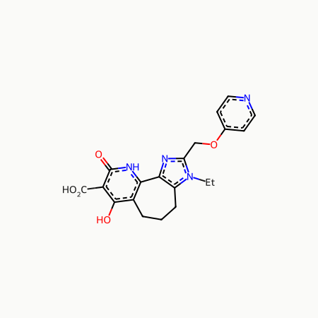 CCn1c(COc2ccncc2)nc2c1CCCc1c-2[nH]c(=O)c(C(=O)O)c1O